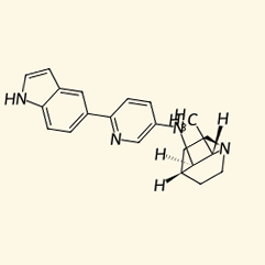 C[C@H]1[C@H](Nc2ccc(-c3ccc4[nH]ccc4c3)nc2)[C@H]2CC[N@@]1CC2